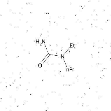 C[CH]CN(CC)C(N)=O